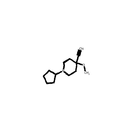 C#CC1(OC)CCN(C2CCCC2)CC1